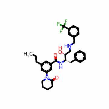 CCCc1cc(C(=O)N[C@@H](Cc2ccccc2)[C@H](O)CNCc2cccc(C(F)(F)F)c2)cc(N2CCCCC2=O)c1